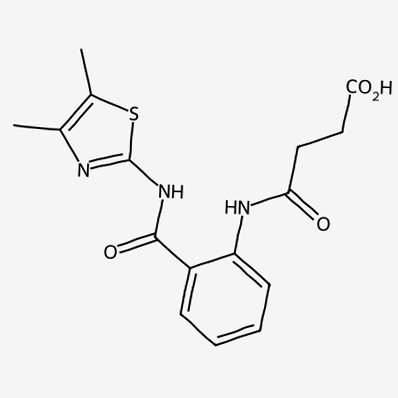 Cc1nc(NC(=O)c2ccccc2NC(=O)CCC(=O)O)sc1C